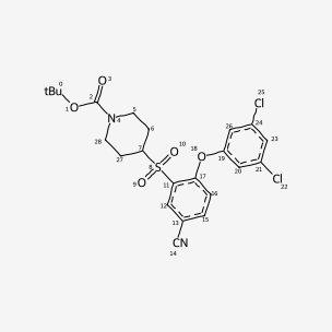 CC(C)(C)OC(=O)N1CCC(S(=O)(=O)c2cc(C#N)ccc2Oc2cc(Cl)cc(Cl)c2)CC1